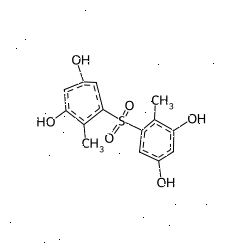 Cc1c(O)cc(O)cc1S(=O)(=O)c1cc(O)cc(O)c1C